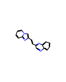 C(=Cc1cn2ccccc2n1)c1cnc2ccccc2n1